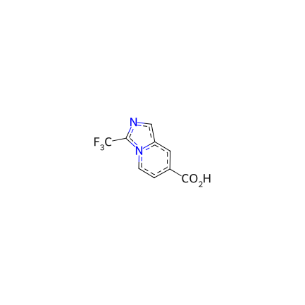 O=C(O)c1ccn2c(C(F)(F)F)ncc2c1